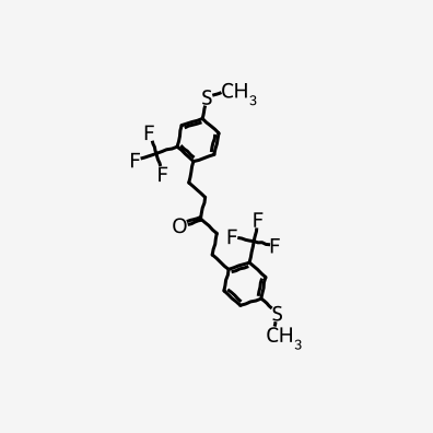 CSc1ccc(CCC(=O)CCc2ccc(SC)cc2C(F)(F)F)c(C(F)(F)F)c1